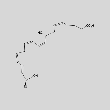 CC[C@H](O)/C=C/C=C\C/C=C\C=C/[C@H](O)C/C=C\CCCC(=O)O